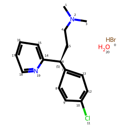 Br.CN(C)CC[C@@H](c1ccc(Cl)cc1)c1ccccn1.O